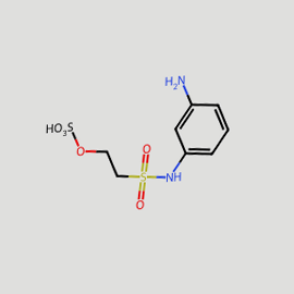 Nc1cccc(NS(=O)(=O)CCOS(=O)(=O)O)c1